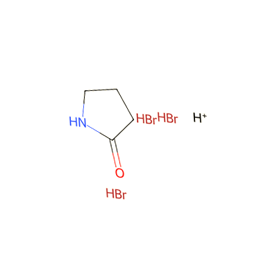 Br.Br.Br.O=C1CCCN1.[H+]